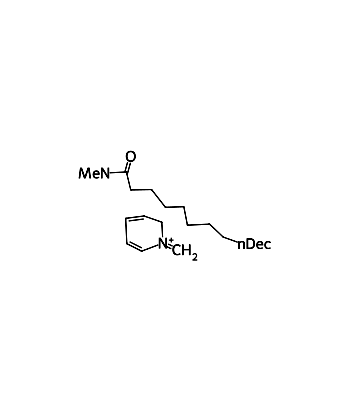 C=[N+]1C=CC=CC1.CCCCCCCCCCCCCCCCCC(=O)[N-]C